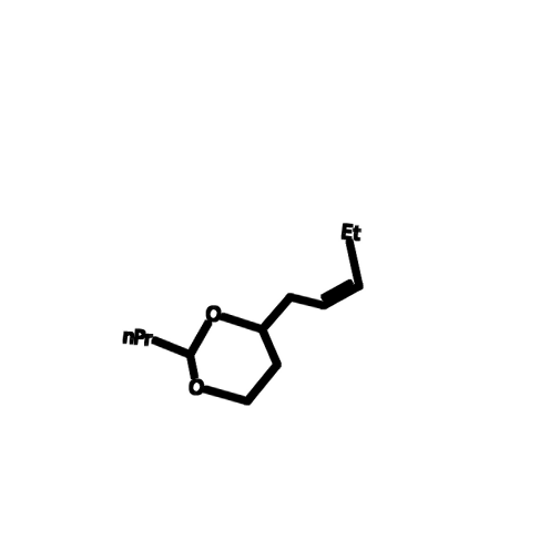 CC/C=C\CC1CCOC(CCC)O1